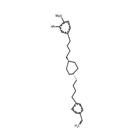 C=Cc1ccc(CCCC[C@H]2CC[C@H](CCCCc3ccc(OC)c(CCC)c3)CC2)cc1